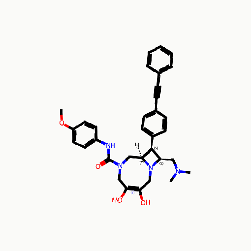 COc1ccc(NC(=O)N2C/C(O)=C(/O)CN3[C@H](CN(C)C)[C@H](c4ccc(C#Cc5ccccc5)cc4)[C@@H]3C2)cc1